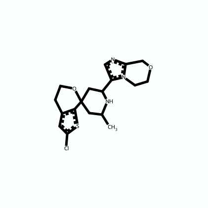 CC1CC2(CC(c3cnc4n3CCOC4)N1)OCCc1cc(Cl)sc12